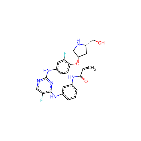 C=CC(=O)Nc1cccc(Nc2nc(Nc3ccc(O[C@H]4CN[C@H](CO)C4)c(F)c3)ncc2F)c1